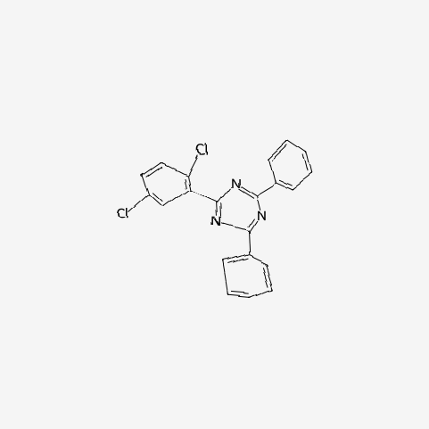 Clc1ccc(Cl)c(-c2nc(-c3ccccc3)nc(-c3ccccc3)n2)c1